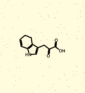 O=C(O)C(=O)Cc1c[nH]c2c1CCC=C2